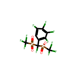 O=S(=O)(C(F)(F)F)C(F)(c1cc(F)c(F)c(F)c1F)S(=O)(=O)C(F)(F)F